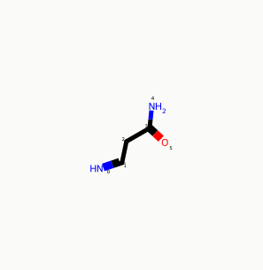 N=[C]CC(N)=O